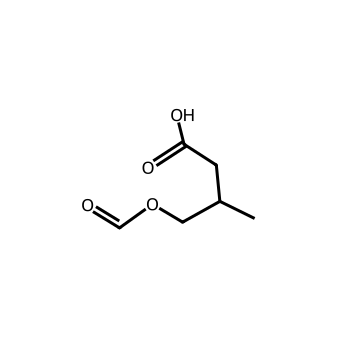 CC(COC=O)CC(=O)O